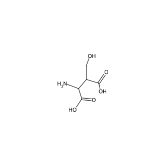 NC(C(=O)O)C(CO)C(=O)O